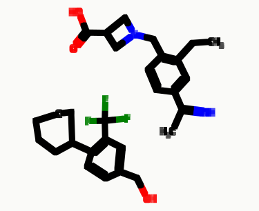 CCc1cc(C(C)=N)ccc1CN1CC(C(=O)O)C1.OCc1ccc(C2CCCCC2)c(C(F)(F)F)c1